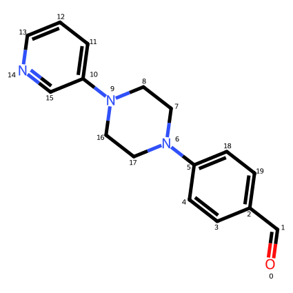 O=Cc1ccc(N2CCN(c3cccnc3)CC2)cc1